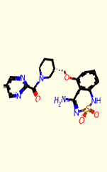 NC1=NS(=O)(=O)Nc2cccc(OC[C@H]3CCCN(C(=O)c4ncccn4)C3)c21